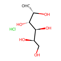 Cl.O=C[C@H](O)[C@@H](O)[C@@H](O)[C@H](O)CO